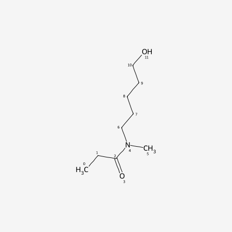 CCC(=O)N(C)CCCCCO